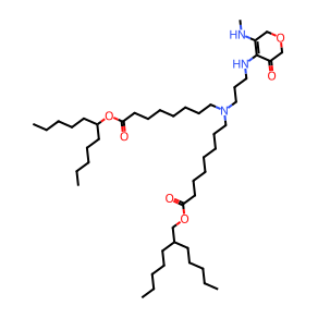 CCCCCC(CCCCC)COC(=O)CCCCCCCN(CCCCCCCC(=O)OC(CCCCC)CCCCC)CCCNC1=C(NC)COCC1=O